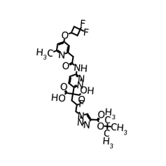 Cc1cc(OC2CC(F)(F)C2)cc(CC(=O)Nc2ccc(C(CC(F)Cn3cc(C(=O)OC(C)(C)C)nn3)(C(=O)O)C(=O)O)nn2)n1